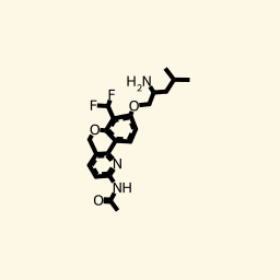 CC(=O)Nc1ccc2c(n1)-c1ccc(OCC(N)CC(C)C)c(C(F)F)c1OC2